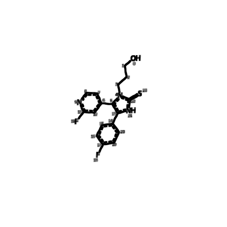 OCCCn1c(-c2ccnc(F)c2)c(-c2ccc(F)cc2)[nH]c1=S